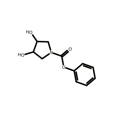 O=C(Oc1ccccc1)N1CC(O)C(O)C1